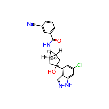 N#Cc1cccc(C(=O)N[C@@H]2[C@@H]3C[C@@](O)(c4cc(Cl)cc5[nH]ncc45)C[C@@H]32)c1